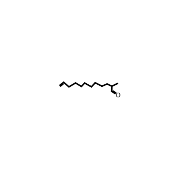 C=CCCCCCCCCC(C)C=O